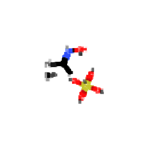 CCC(C)=NO.O=S(=O)([O-])[O-].[Ba+2]